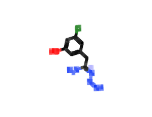 N=N/N=C(\N)Cc1cc(O)cc(Cl)c1